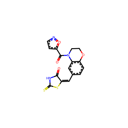 O=C1NC(=S)SC1=Cc1ccc2c(c1)N(C(=O)c1ccno1)CCO2